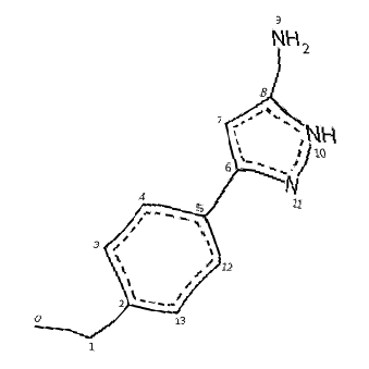 CCc1ccc(-c2cc(N)[nH]n2)cc1